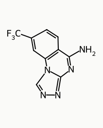 Nc1nc2nncn2c2cc(C(F)(F)F)ccc12